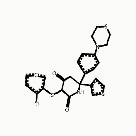 O=C1CC(c2ccc(N3CCSCC3)cc2)(c2ccsc2)NC(=O)C1Sc1ccccc1Cl